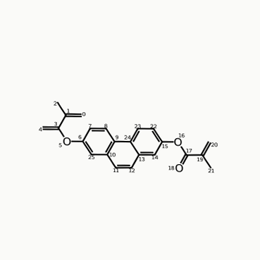 C=C(C)C(=C)Oc1ccc2c(ccc3cc(OC(=O)C(=C)C)ccc32)c1